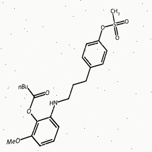 CCCCC(=O)Oc1c(NCCCc2ccc(OS(C)(=O)=O)cc2)cccc1OC